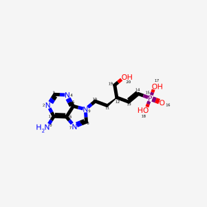 Nc1ncnc2c1ncn2CC[C@H](/C=C/P(=O)(O)O)CO